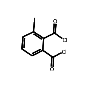 O=C(Cl)c1cccc(I)c1C(=O)Cl